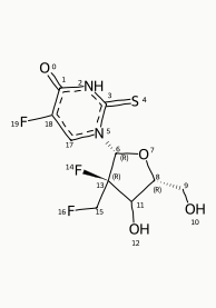 O=c1[nH]c(=S)n([C@@H]2O[C@H](CO)C(O)[C@]2(F)CF)cc1F